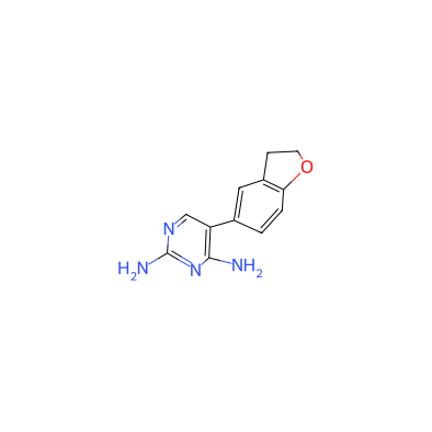 Nc1ncc(-c2ccc3c(c2)CCO3)c(N)n1